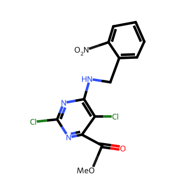 COC(=O)c1nc(Cl)nc(NCc2ccccc2[N+](=O)[O-])c1Cl